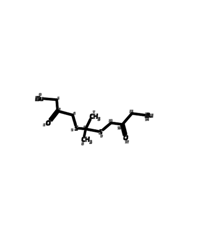 CCC(C)CC(=O)CSC(C)(C)SCC(=O)CC(C)CC